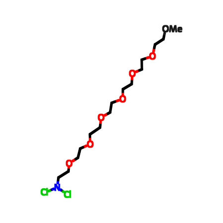 COCCOCCOCCOCCOCCOCCOCCN(Cl)Cl